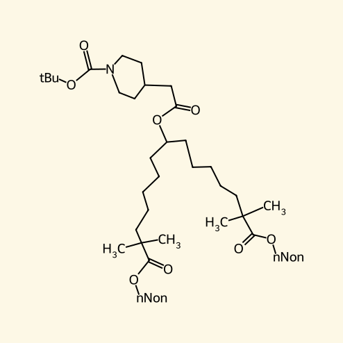 CCCCCCCCCOC(=O)C(C)(C)CCCCCC(CCCCCC(C)(C)C(=O)OCCCCCCCCC)OC(=O)CC1CCN(C(=O)OC(C)(C)C)CC1